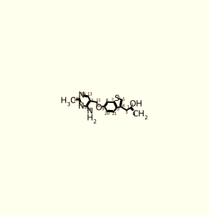 C=C(O)Cc1csc2cc(OCc3cnc(C)nc3N)ccc12